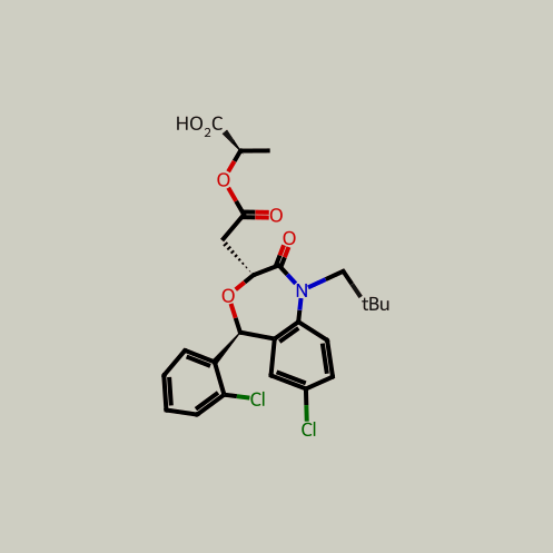 C[C@@H](OC(=O)C[C@H]1O[C@H](c2ccccc2Cl)c2cc(Cl)ccc2N(CC(C)(C)C)C1=O)C(=O)O